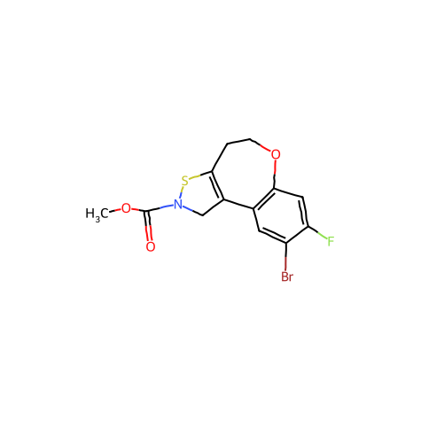 COC(=O)N1CC2=C(CCOc3cc(F)c(Br)cc32)S1